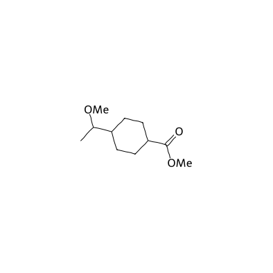 COC(=O)C1CCC(C(C)OC)CC1